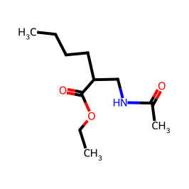 CCCCC(CNC(C)=O)C(=O)OCC